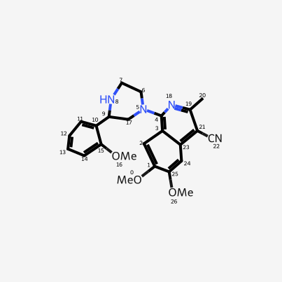 COc1cc2c(N3CCNC(c4ccccc4OC)C3)nc(C)c(C#N)c2cc1OC